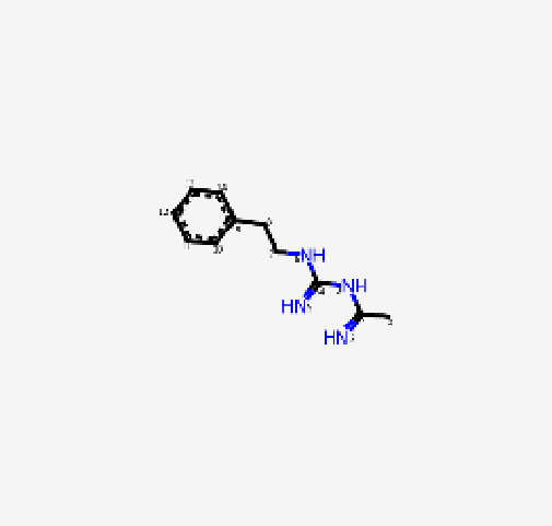 CC(=N)NC(=N)NCCc1ccccc1